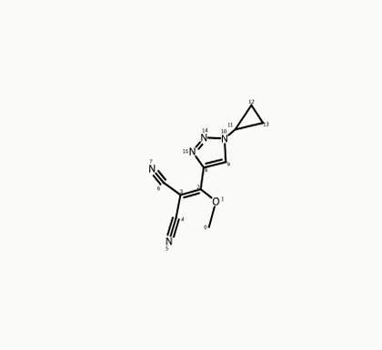 COC(=C(C#N)C#N)c1cn(C2CC2)nn1